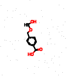 O=C(O)c1ccc(COBO)cc1